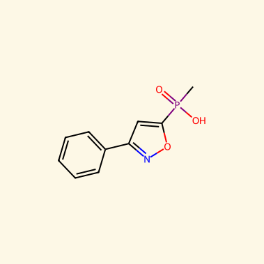 CP(=O)(O)c1cc(-c2ccccc2)no1